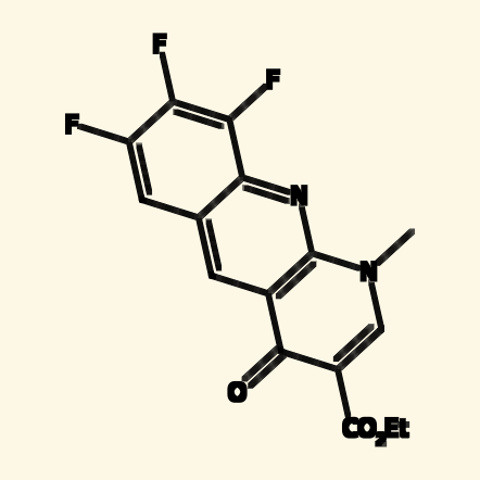 CCOC(=O)c1cn(C)c2nc3c(F)c(F)c(F)cc3cc2c1=O